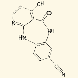 N#Cc1ccc2c(c1)NC(=O)c1c(O)ccnc1N2